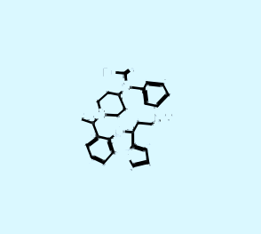 CCC(=O)N(c1ccccc1)C1CCN(C(C)c2ccccc2OC(CCNC)c2cccs2)CC1